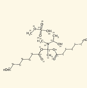 CCCCCCCCCCCCCCCC(=O)OC(C)(OC(=O)CCCCCCCCCCCCCCC)N(C)C(C)O.COS(=O)(=O)O